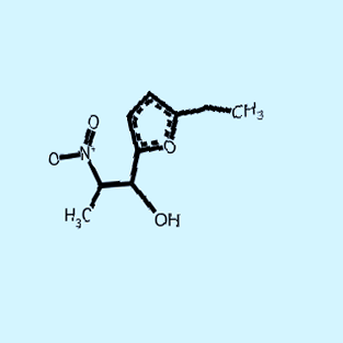 CCc1ccc(C(O)C(C)[N+](=O)[O-])o1